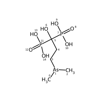 C[As](C)CCC(O)(P(=O)(O)O)P(=O)(O)O